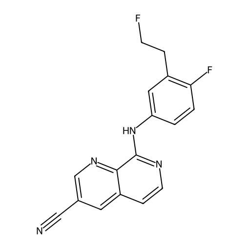 N#Cc1cnc2c(Nc3ccc(F)c(CCF)c3)nccc2c1